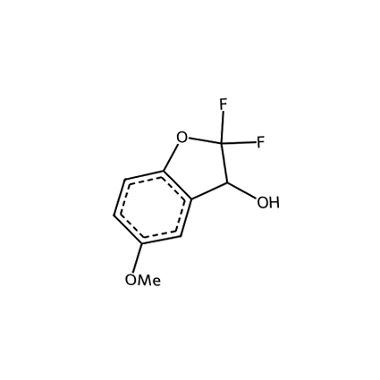 COc1ccc2c(c1)C(O)C(F)(F)O2